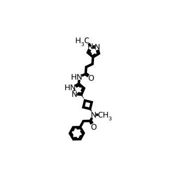 Cn1cc(CCC(=O)Nc2cc([C@H]3C[C@@H](N(C)C(=O)Cc4ccccc4)C3)n[nH]2)cn1